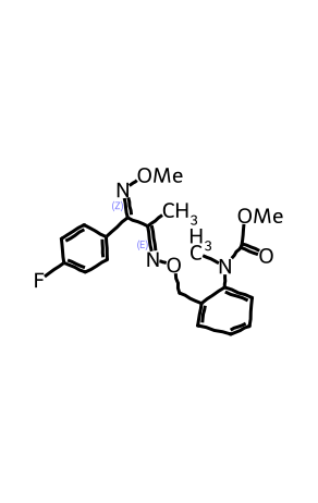 CO/N=C(\C(C)=N\OCc1ccccc1N(C)C(=O)OC)c1ccc(F)cc1